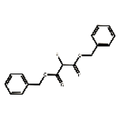 O=C(OCc1ccccc1)C(F)C(=O)OCc1ccccc1